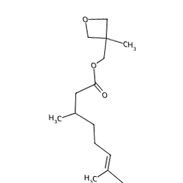 CC(C)=CCCC(C)CC(=O)OCC1(C)COC1